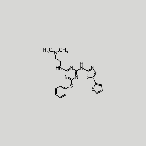 CN(C)CCNc1nc(Nc2ncc(-c3cccs3)s2)nc(Sc2ccccc2)n1